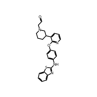 O=CCN1CCCC(c2cccnc2Oc2ccc(Nc3nc4ccccc4s3)cc2)C1